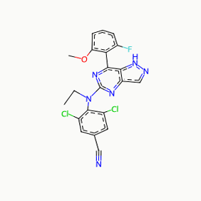 CCN(c1nc(-c2c(F)cccc2OC)c2[nH]ncc2n1)c1c(Cl)cc(C#N)cc1Cl